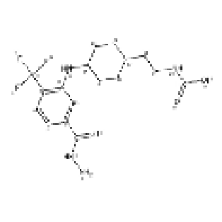 NNC(=O)c1ccc(C(F)(F)F)c(NC2CCC(CCNC(=O)O)CC2)c1